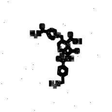 NCc1ccc(C(=O)NC2C(=O)N3C(C(=O)O)=C(C[n+]4ccc(C(N)=O)cc4)CS[C@@H]23)cc1